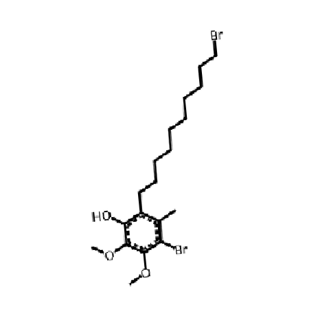 COc1c(O)c(CCCCCCCCCCBr)c(C)c(Br)c1OC